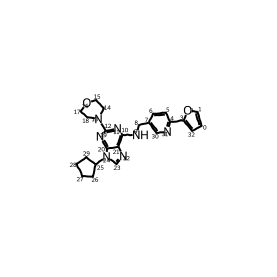 c1coc(-c2ccc(CNc3nc(N4CCOCC4)nc4c3ncn4C3CCCC3)cn2)c1